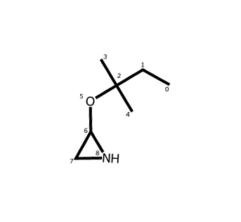 CCC(C)(C)OC1CN1